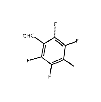 Cc1c(F)c(F)c(C=O)c(F)c1F